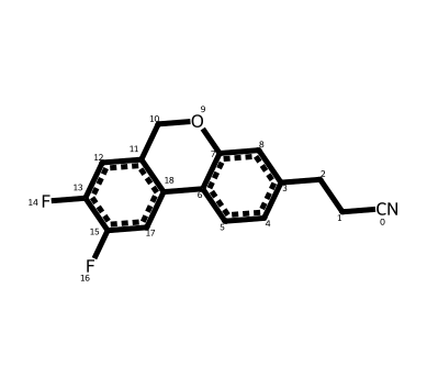 N#CCCc1ccc2c(c1)OCc1cc(F)c(F)cc1-2